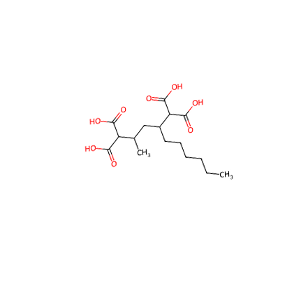 CCCCCCC(CC(C)C(C(=O)O)C(=O)O)C(C(=O)O)C(=O)O